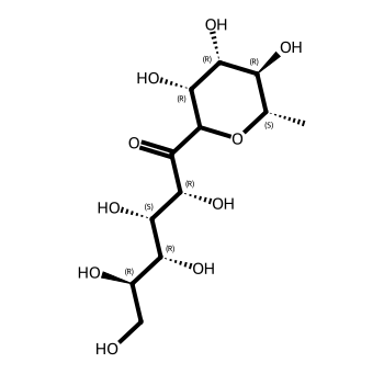 C[C@@H]1OC(C(=O)[C@H](O)[C@@H](O)[C@H](O)[C@H](O)CO)[C@H](O)[C@H](O)[C@H]1O